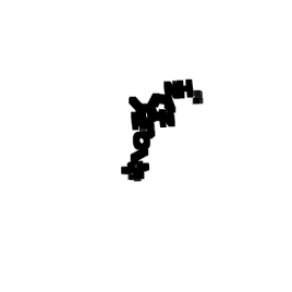 Cc1nn(COCC[Si](C)(C)C)c2ncc(N)cc12